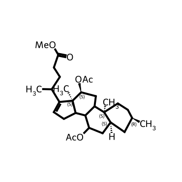 COC(=O)CCC(C)C1=CCC2C3C(OC(C)=O)C[C@@H]4C[C@H](C)CC[C@]4(C)C3C[C@H](OC(C)=O)[C@]12C